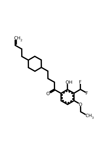 C=CCCC1CCC(CCCC(=O)c2ccc(OCC)c(C(F)F)c2O)CC1